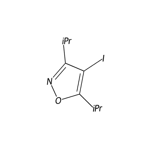 CC(C)c1noc(C(C)C)c1I